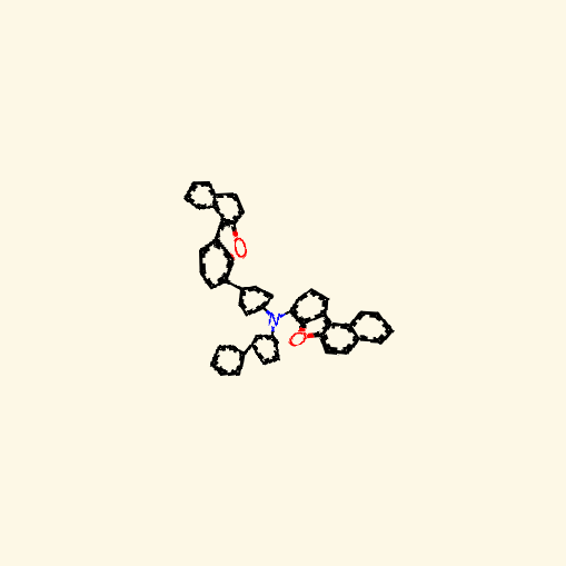 c1ccc(-c2cccc(N(c3ccc(-c4cccc5c4oc4ccc6ccccc6c45)cc3)c3cccc4c3oc3ccc5ccccc5c34)c2)cc1